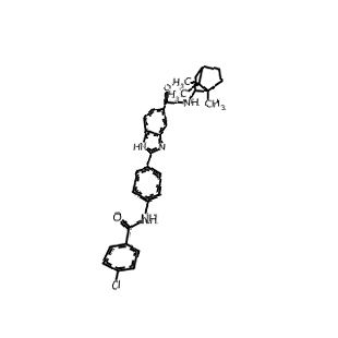 CC1(C)C2CCC1(C)C(NC(=O)c1ccc3[nH]c(-c4ccc(NC(=O)c5ccc(Cl)cc5)cc4)nc3c1)C2